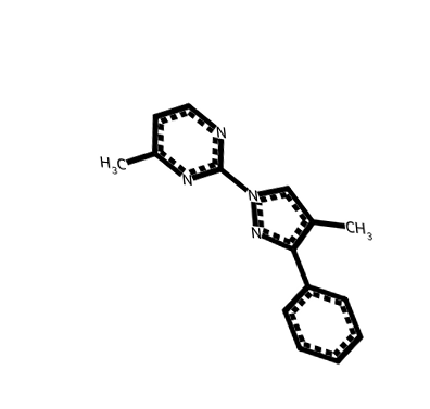 Cc1ccnc(-n2cc(C)c(-c3ccccc3)n2)n1